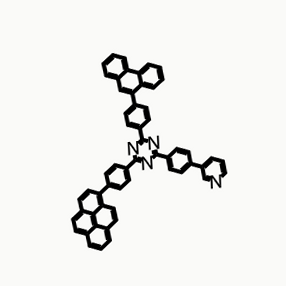 c1cncc(-c2ccc(-c3nc(-c4ccc(-c5cc6ccccc6c6ccccc56)cc4)nc(-c4ccc(-c5ccc6ccc7cccc8ccc5c6c78)cc4)n3)cc2)c1